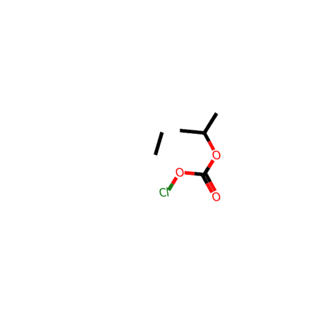 CC.CC(C)OC(=O)OCl